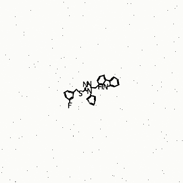 Fc1cccc(CSc2nnc(Cc3cccc4c3[nH]c3ccccc34)n2-c2ccccc2)c1